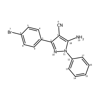 N#Cc1c(-c2ccc(Br)cc2)nn(-c2ccccc2)c1N